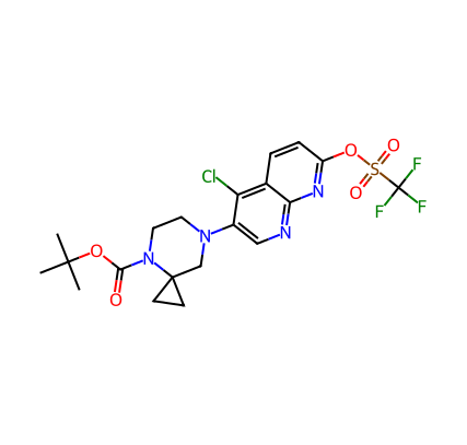 CC(C)(C)OC(=O)N1CCN(c2cnc3nc(OS(=O)(=O)C(F)(F)F)ccc3c2Cl)CC12CC2